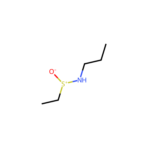 CCCN[S+]([O-])CC